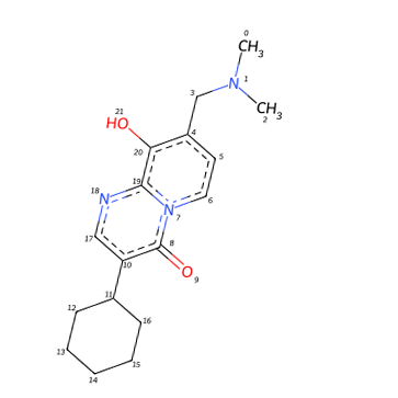 CN(C)Cc1ccn2c(=O)c(C3CCCCC3)cnc2c1O